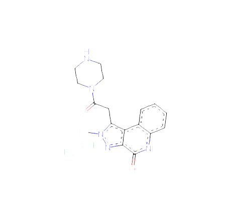 CCn1nc2c(=O)[nH]c3ccccc3c2c1CC(=O)N1CCNCC1.Cl.Cl